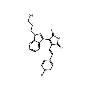 O=C1NC(=O)C(c2cn(CCCO)c3ncccc23)=C1C=Cc1ccc(F)cc1